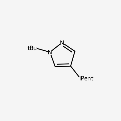 CCCC(C)c1cnn(C(C)(C)C)c1